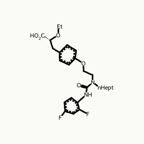 CCCCCCCN(CCOc1ccc(C[C@@H](OCC)C(=O)O)cc1)C(=O)Nc1ccc(F)cc1F